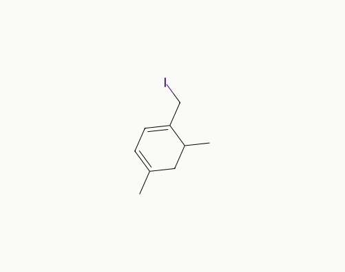 CC1=CC=C(CI)C(C)C1